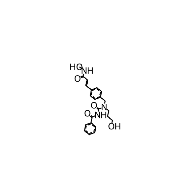 O=C(/C=C/c1ccc(CN(CCCO)C(=O)NC(=O)c2ccccc2)cc1)NO